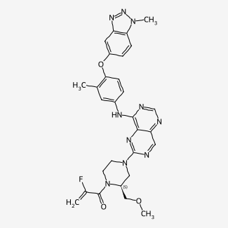 C=C(F)C(=O)N1CCN(c2ncc3ncnc(Nc4ccc(Oc5ccc6c(c5)nnn6C)c(C)c4)c3n2)C[C@H]1COC